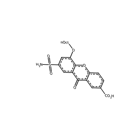 CCCCCCCCOc1cc(S(N)(=O)=O)cc2c(=O)c3cc(C(=O)O)ccc3oc12